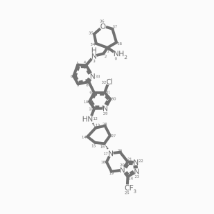 NC1(CNc2cccc(-c3cc(N[C@H]4CC[C@@H](N5CCn6c(nnc6C(F)(F)F)C5)CC4)ncc3Cl)n2)CCOCC1